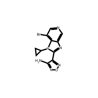 Nc1nonc1-c1nc2cncc(Br)c2n1C1CC1